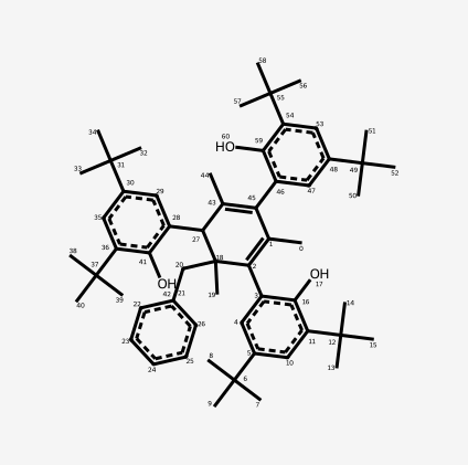 CC1=C(c2cc(C(C)(C)C)cc(C(C)(C)C)c2O)C(C)(Cc2ccccc2)C(c2cc(C(C)(C)C)cc(C(C)(C)C)c2O)C(C)=C1c1cc(C(C)(C)C)cc(C(C)(C)C)c1O